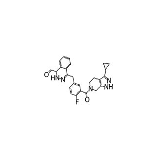 O=CC1NN=C(Cc2ccc(F)c(C(=O)N3CCc4c(C5CC5)n[nH]c4C3)c2)c2ccccc21